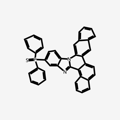 S=P(c1ccccc1)(c1ccccc1)c1ccc2c(c1)nc1c3c4ccccc4ccc3c3cc4ccccc4cc3n21